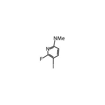 CNc1ccc(I)c(F)n1